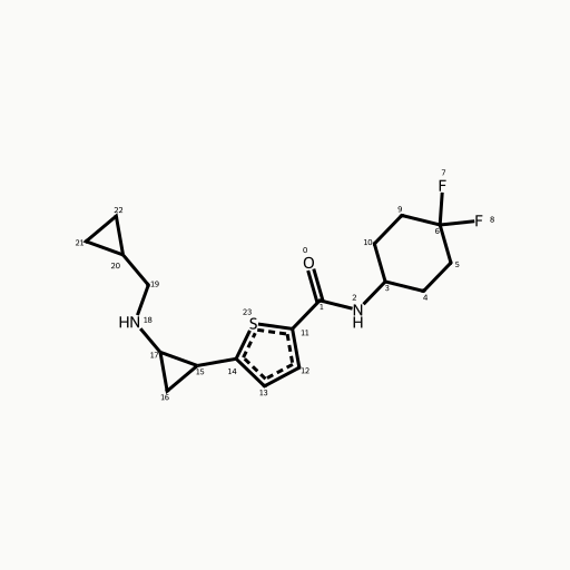 O=C(NC1CCC(F)(F)CC1)c1ccc(C2CC2NCC2CC2)s1